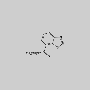 CN(O)C(=O)c1cccc2nnsc12